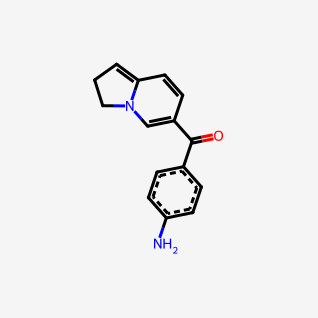 Nc1ccc(C(=O)C2=CN3CCC=C3C=C2)cc1